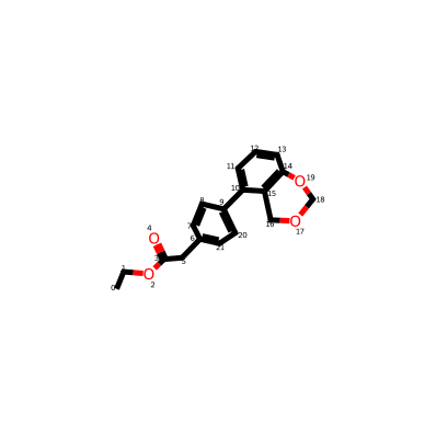 CCOC(=O)Cc1ccc(-c2cccc3c2COCO3)cc1